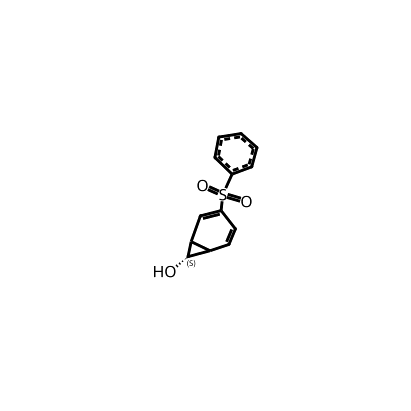 O=S(=O)(C1=CC2C(C=C1)[C@@H]2O)c1ccccc1